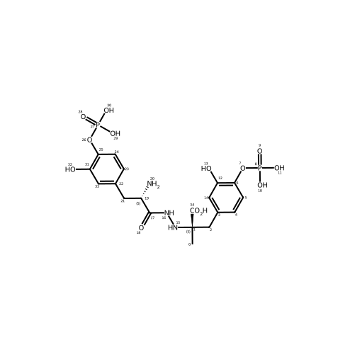 C[C@@](Cc1ccc(OP(=O)(O)O)c(O)c1)(NNC(=O)[C@@H](N)Cc1ccc(OP(=O)(O)O)c(O)c1)C(=O)O